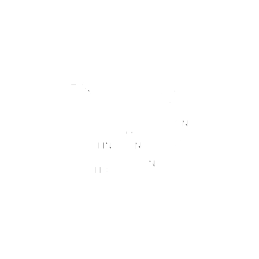 C[C@H](NC(=O)[C@H]1CC[C@H](C)CC1)c1nc(-c2ccnc(C3CC3)c2)no1